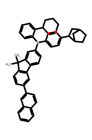 CC1(C)c2ccc(-c3ccc4ccccc4c3)cc2-c2ccc(N(c3ccc(C4CC5CCC4C5)cc3)c3ccccc3C3CCCCC3)cc21